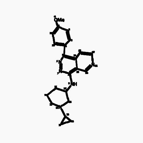 COc1ccc(-c2nnc(NC3CCCN(C4CC4)C3)c3cnccc23)cc1